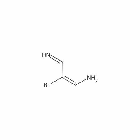 N=C/C(Br)=C\N